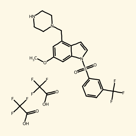 COc1cc(CN2CCNCC2)c2ccn(S(=O)(=O)c3cccc(C(F)(F)F)c3)c2c1.O=C(O)C(F)(F)F.O=C(O)C(F)(F)F